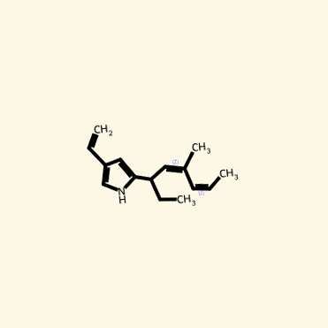 C=Cc1c[nH]c(C(/C=C(C)\C=C/C)CC)c1